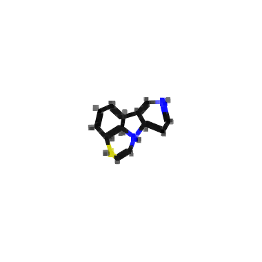 C1=Cn2c3ccncc3c3cccc(c32)S1